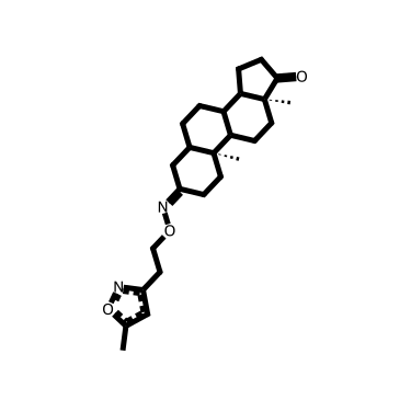 Cc1cc(CCO/N=C2\CC[C@@]3(C)C(CCC4C3CC[C@]3(C)C(=O)CCC43)C2)no1